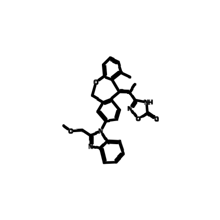 COCc1nc2ccccc2n1-c1ccc2c(c1)COc1cccc(C)c1C2=C(C)c1noc(=O)[nH]1